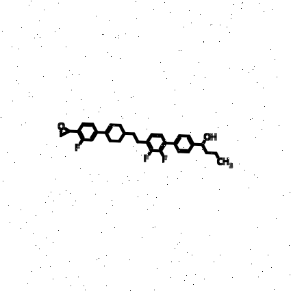 CCCC(O)c1ccc(-c2ccc(CCC3CC=C(c4ccc(C5CO5)c(F)c4)CC3)c(F)c2F)cc1